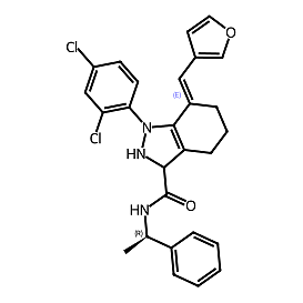 C[C@@H](NC(=O)C1NN(c2ccc(Cl)cc2Cl)C2=C1CCC/C2=C\c1ccoc1)c1ccccc1